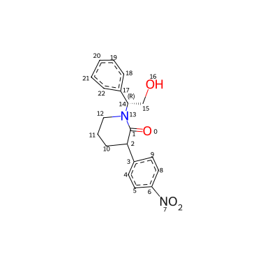 O=C1C(c2ccc([N+](=O)[O-])cc2)CCCN1[C@@H](CO)c1ccccc1